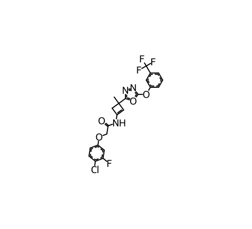 CC1(c2nnc(Oc3cccc(C(F)(F)F)c3)o2)C=C(NC(=O)COc2ccc(Cl)c(F)c2)C1